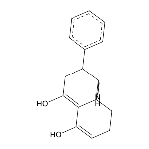 OC1=CCCC23CNCCC2C(c2ccccc2)CC(O)=C13